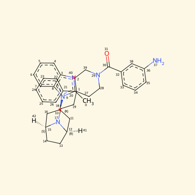 Cc1nc2ccccc2n1[C@H]1C[C@H]2CC[C@@H](C1)N2CCC1(c2ccccc2)CCN(C(=O)c2cccc(N)c2)CC1